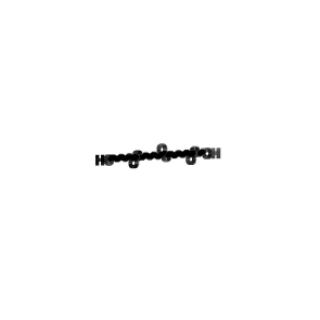 O=C(CCCCCOC(=O)CCCCCOC(=O)CCCCCO)OCCO